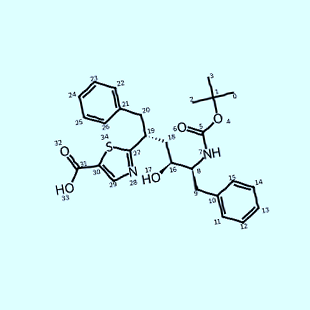 CC(C)(C)OC(=O)N[C@@H](Cc1ccccc1)[C@@H](O)C[C@@H](Cc1ccccc1)c1ncc(C(=O)O)s1